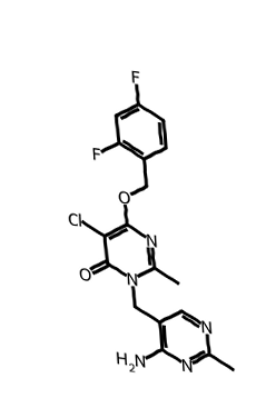 Cc1ncc(Cn2c(C)nc(OCc3ccc(F)cc3F)c(Cl)c2=O)c(N)n1